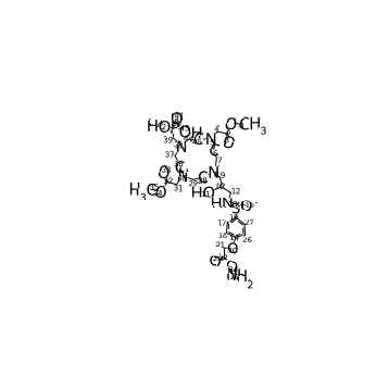 COC(=O)CN1CCN(CC(O)CN[S+]([O-])c2ccc(OCC(=O)ON)cc2)CCN(CC(=O)OC)CCN(CP(=O)(O)O)CC1